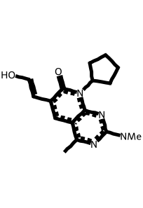 CNc1nc(C)c2cc(/C=C/O)c(=O)n(C3CCCC3)c2n1